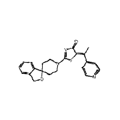 C/C(=C1/SC(N2CCC3(CC2)OCc2ccccc23)=NC1=O)c1ccncc1